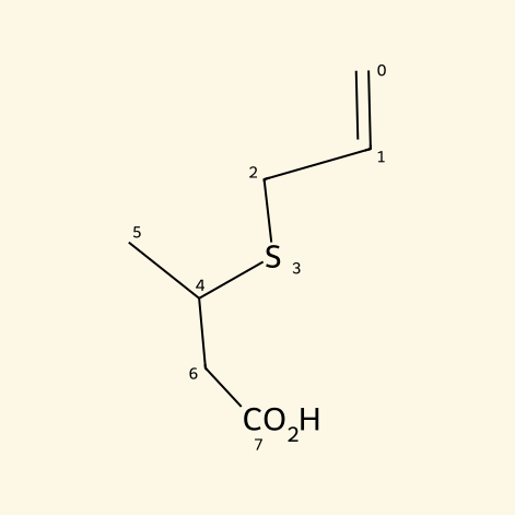 C=CCSC(C)CC(=O)O